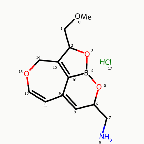 COCC1OB2OC(CN)C=C3C=COCC1=C23.Cl